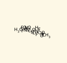 CC(F)(F)c1nc(N2CCC(N3CCCC(Nc4c(F)cc(S(C)(=O)=O)cc4F)C3=O)CC2=O)no1